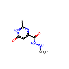 Cc1nc(C(=O)NNC(=O)O)cc(=O)[nH]1